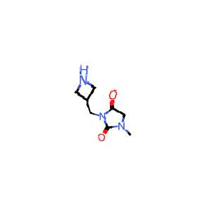 CN1CC(=O)N(CC2CNC2)C1=O